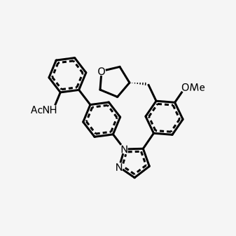 COc1ccc(-c2ccnn2-c2ccc(-c3ccccc3NC(C)=O)cc2)cc1C[C@@H]1CCOC1